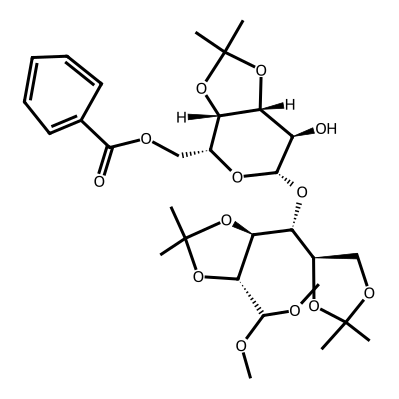 COC(OC)[C@@H]1OC(C)(C)O[C@H]1[C@H](O[C@@H]1O[C@H](COC(=O)c2ccccc2)[C@@H]2OC(C)(C)O[C@@H]2[C@H]1O)[C@H]1COC(C)(C)O1